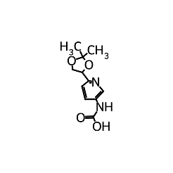 CC1(C)OCC(c2ccc(NC(=O)O)cn2)O1